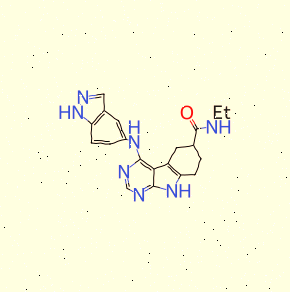 CCNC(=O)C1CCc2[nH]c3ncnc(Nc4ccc5[nH]ncc5c4)c3c2C1